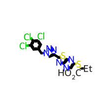 CCC(Sc1cnc2nc(-c3cn(Cc4cc(Cl)c(Cl)c(Cl)c4)nn3)sc2n1)C(=O)O